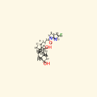 C[C@H](CCC(=O)N1CCc2cc(F)cnc21)[C@H]1CC[C@H]2[C@@H]3CC[C@@H]4C[C@H](O)CC[C@]4(C)[C@H]3C[C@H](O)[C@]12C